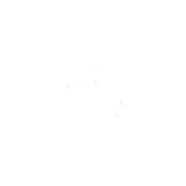 NC(=O)Oc1cccc(CCCn2ccnc2)n1